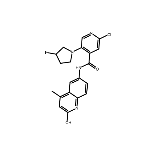 Cc1cc(O)nc2ccc(NC(=O)c3cc(Cl)ncc3N3CCC(F)C3)cc12